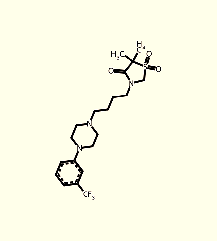 CC1(C)C(=O)N(CCCCN2CCN(c3cccc(C(F)(F)F)c3)CC2)CS1(=O)=O